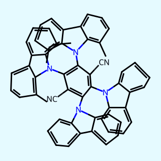 Cc1cccc2c3cccc(C)c3n(-c3c(C#N)c(-n4c5ccccc5c5ccccc54)c(-n4c5ccccc5c5ccccc54)c(C#N)c3-n3c4c(C)cccc4c4cccc(C)c43)c12